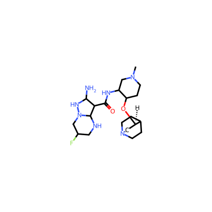 CN1CCC(O[C@@H]2CN3CCC2CC3)C(NC(=O)C2C(N)NN3CC(F)CNC23)C1